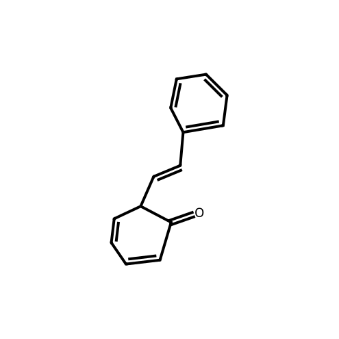 O=C1C=CC=CC1C=Cc1ccccc1